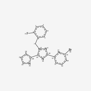 Fc1ccccc1Cn1nc(-c2cccc(Br)n2)nc1-c1nccs1